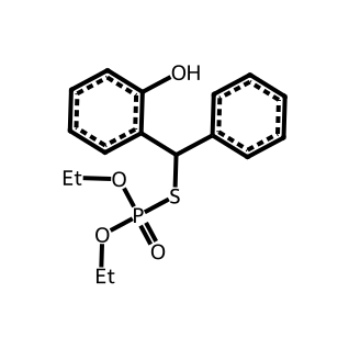 CCOP(=O)(OCC)SC(c1ccccc1)c1ccccc1O